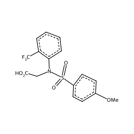 COc1ccc(S(=O)(=O)N(CC(=O)O)c2ccccc2C(F)(F)F)cc1